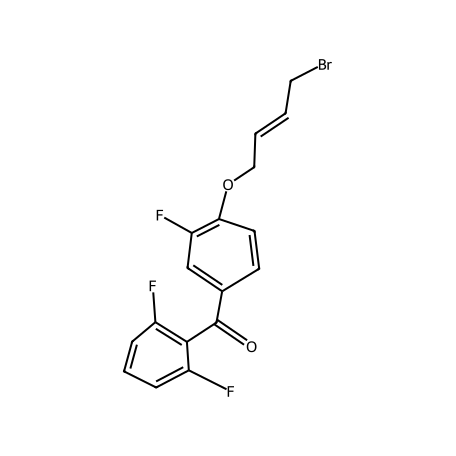 O=C(c1ccc(OCC=CCBr)c(F)c1)c1c(F)cccc1F